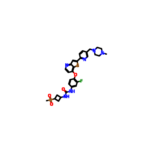 CN1CCN(Cc2ccc(-c3cc4nccc(Oc5ccc(NC(=O)NC6CC(S(C)(=O)=O)C6)cc5F)c4s3)nc2)CC1